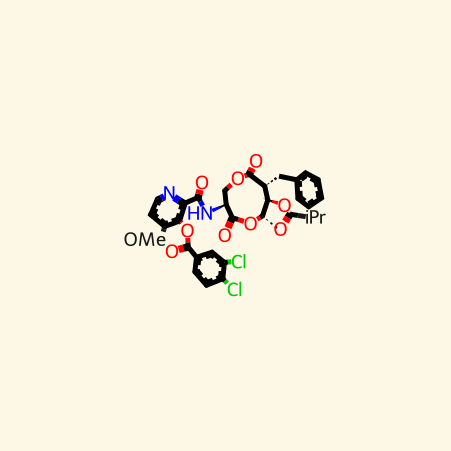 COc1ccnc(C(=O)N[C@H]2COC(=O)[C@H](Cc3ccccc3)[C@@H](OC(=O)C(C)C)[C@H](C)OC2=O)c1OC(=O)c1ccc(Cl)c(Cl)c1